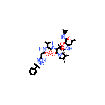 CCCC(NC(=O)[C@@H]1[C@@H](C)[C@@H](C)CN1C(=O)[C@H](NC(=O)[C@@H](NC(=O)Cc1nnn(C(C)(C)c2ccccc2)n1)C(C)C)C(C)(C)C)C(=O)C(=O)NC1CC1